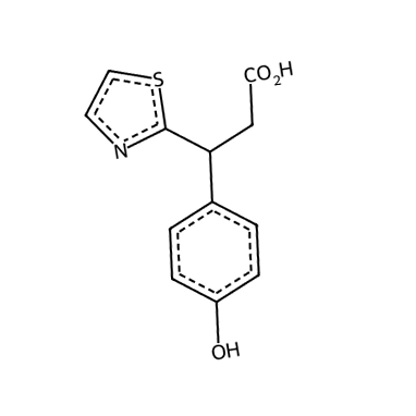 O=C(O)CC(c1ccc(O)cc1)c1nccs1